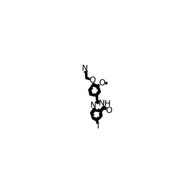 COc1cc(-c2nc3ccc(I)cc3c(=O)[nH]2)ccc1OCC#N